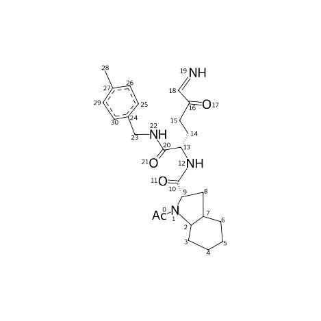 CC(=O)N1C2CCCCC2C[C@H]1C(=O)N[C@@H](CCC(=O)C=N)C(=O)NCc1ccc(C)cc1